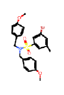 COc1ccc(CN(Cc2ccc(OC)cc2)S(=O)(=O)c2cc(C)cc(Br)c2)cc1